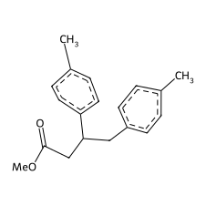 COC(=O)CC(Cc1ccc(C)cc1)c1ccc(C)cc1